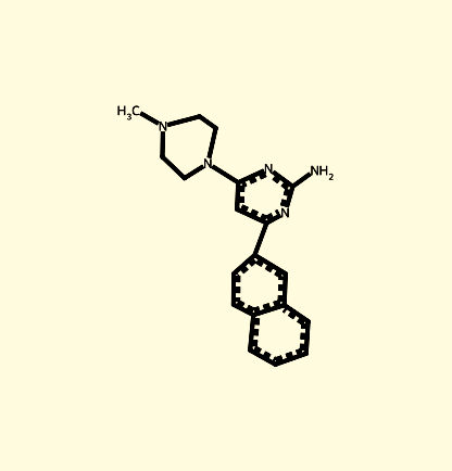 CN1CCN(c2cc(-c3ccc4ccccc4c3)nc(N)n2)CC1